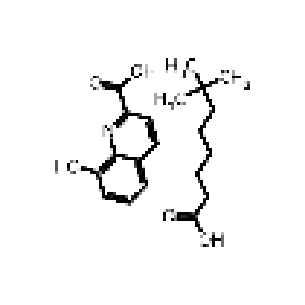 CC(C)(C)CCCCCC(=O)O.O=C(O)c1ccc2cccc(O)c2n1